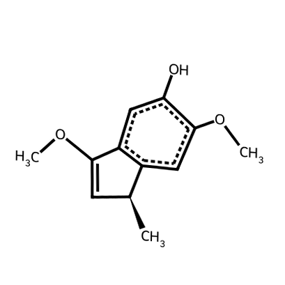 COC1=C[C@H](C)c2cc(OC)c(O)cc21